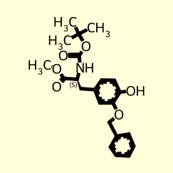 COC(=O)[C@H](Cc1ccc(O)c(OCc2ccccc2)c1)NC(=O)OC(C)(C)C